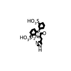 N[C@@H](Cc1c[nH]cn1)C(=O)P(c1cccc(S(=O)(=O)O)c1)c1cccc(S(=O)(=O)O)c1